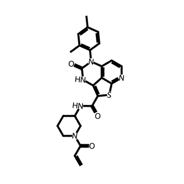 C=CC(=O)N1CCCC(NC(=O)c2sc3nccc4c3c2NC(=O)N4c2ccc(C)cc2C)C1